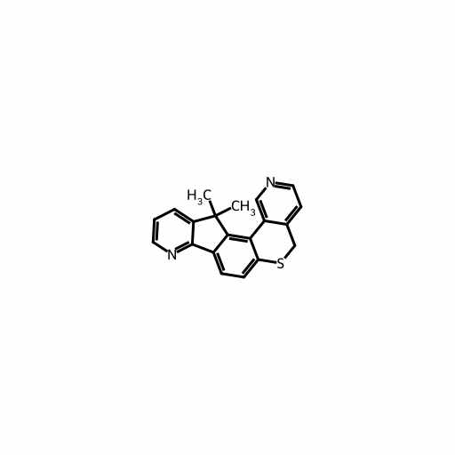 CC1(C)c2cccnc2-c2ccc3c(c21)-c1cnccc1CS3